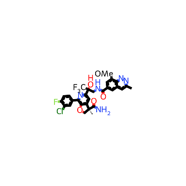 COc1cc(C(=O)NCC(O)(c2cc3c(c(-c4ccc(F)c(Cl)c4)n2)OC[C@]3(C)C(N)=O)C(F)(F)F)cc2cc(C)nnc12